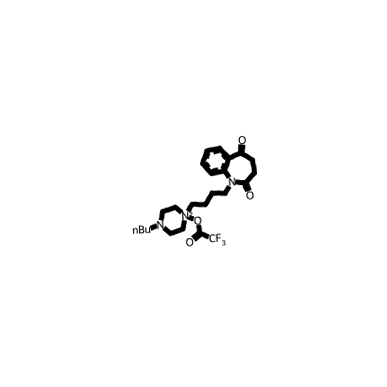 CCCCN1CC[N+](CCCCN2C(=O)CCC(=O)c3ccccc32)(OC(=O)C(F)(F)F)CC1